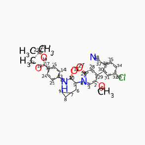 COc1cn(C(CC2CC2)C(=O)Nc2ccc(C(=O)OC(C)(C)C)cc2)c(=O)cc1-c1cc(Cl)ccc1C#N